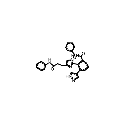 NC(=O)c1cccc(-c2cn[nH]c2)c1-c1nc(CCC(=O)Nc2ccccc2)cn1Cc1ccccc1